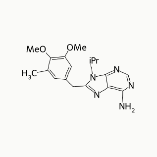 COc1cc(Cc2nc3c(N)ncnc3n2C(C)C)cc(C)c1OC